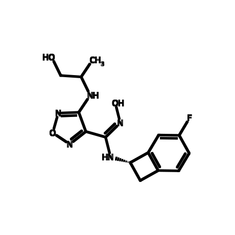 CC(CO)Nc1nonc1C(=NO)N[C@H]1Cc2ccc(F)cc21